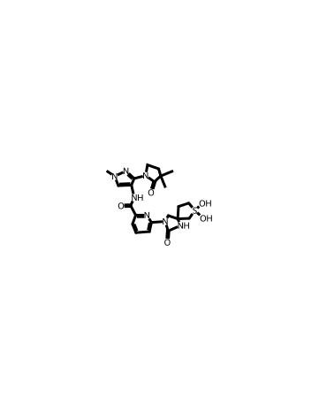 Cn1cc(NC(=O)c2cccc(N3CC4(CCS(O)(O)C4)NC3=O)n2)c(N2CCC(C)(C)C2=O)n1